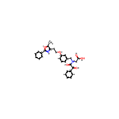 Cc1oc(-c2ccccc2)nc1CCOc1cccc(CN(CC(=O)O)C(=O)C(=O)c2ccccc2)c1